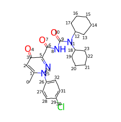 Cc1cc(=O)c(C(=O)NC(=O)N(C2CCCCC2)C2CCCCC2)nn1-c1ccc(Cl)cc1